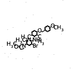 COc1ccc(COc2ccc(C)c(Nc3nc(C)c(N4CC[C@H](OC)C4)cc3Br)c2C)cc1